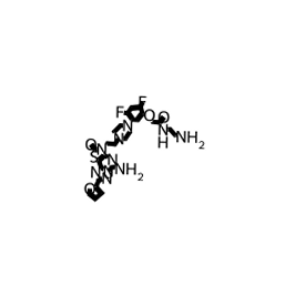 NCCNC(=O)COc1cc(N2CCN(CCn3c(=O)sc4c3nc(N)n3nc(-c5ccco5)nc43)CC2)c(F)cc1F